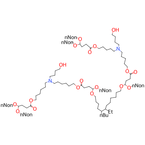 CCCCCCCCCOC(CCC(=O)OCCCCCCN(CCCCO)CCCCCCOC(=O)CCC(OCCCCCCCCC)OCCCCC(CCCC)C(CC)CCCCCCOC(CCC(=O)OCCCCCN(CCCCO)CCCCCOC(=O)CCC(OCCCCCCCCC)OCCCCCCCCC)OCCCCCCCCC)OCCCCCCCCC